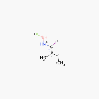 CC/C(C)=C(\I)NBF